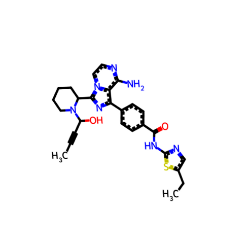 CC#CC(O)N1CCCCC1c1nc(-c2ccc(C(=O)Nc3ncc(CC)s3)cc2)c2c(N)nccn12